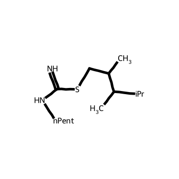 CCCCCNC(=N)SCC(C)C(C)C(C)C